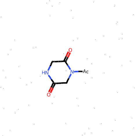 CC(=O)N1CC(=O)NCC1=O